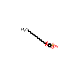 CCCCCCCCCCCCCCCCCC(=O)Oc1ccc(S(=O)(=O)O)cc1